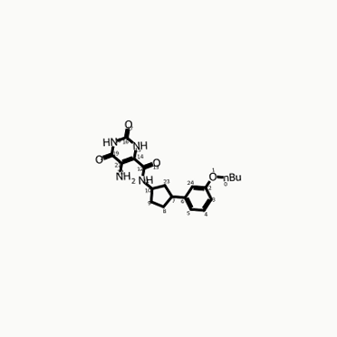 CCCCOc1cccc(C2CCC(NC(=O)c3[nH]c(=O)[nH]c(=O)c3N)C2)c1